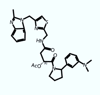 CC(=O)O[C@H](CC(=O)NCc1nc(Cn2c(C)nc3ccccc32)cs1)C(=O)N1CCCC1c1cccc(N(C)C)c1